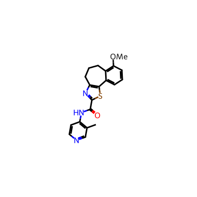 COc1cccc2c1CCCc1nc(C(=O)Nc3ccncc3C)sc1-2